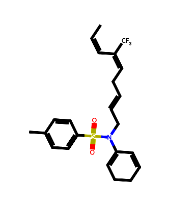 C/C=C\C(=C/C/C=C/CN(C1=CCCC=C1)S(=O)(=O)c1ccc(C)cc1)C(F)(F)F